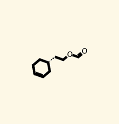 O=COCC[C@@H]1CC=CCC1